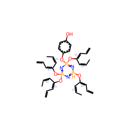 C=C/C=C(\C=C/C)O[PH]1=NP(OC(/C=C\C)=C/C=C)(OC(/C=C\C)=C/C=C)=NP(OC(/C=C\C)=C/C=C)(Oc2ccc(O)cc2)=N1